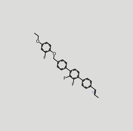 C/C=C/c1ccc(-c2ccc(-c3ccc(COc4ccc(OCC)cc4F)cc3)c(F)c2F)cc1